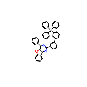 c1ccc(-c2nc(-c3cccc(-c4cccc([Si](c5ccccc5)(c5ccccc5)c5ccccc5)c4)c3)nc3c2oc2ccccc23)cc1